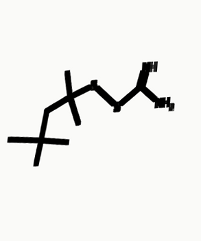 CC(C)(C)CC(C)(C)SSC(=N)N